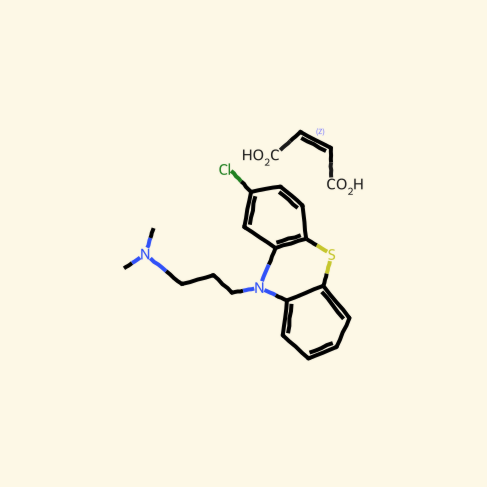 CN(C)CCCN1c2ccccc2Sc2ccc(Cl)cc21.O=C(O)/C=C\C(=O)O